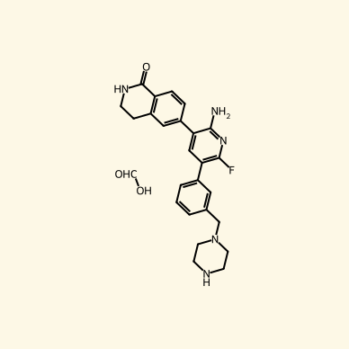 Nc1nc(F)c(-c2cccc(CN3CCNCC3)c2)cc1-c1ccc2c(c1)CCNC2=O.O=CO